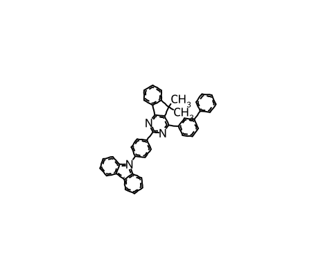 CC1(C)c2ccccc2-c2nc(-c3ccc(-n4c5ccccc5c5ccccc54)cc3)nc(-c3cccc(-c4ccccc4)c3)c21